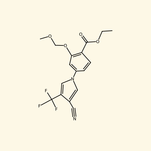 CCOC(=O)c1ccc(-n2cc(C#N)c(C(F)(F)F)c2)cc1OCOC